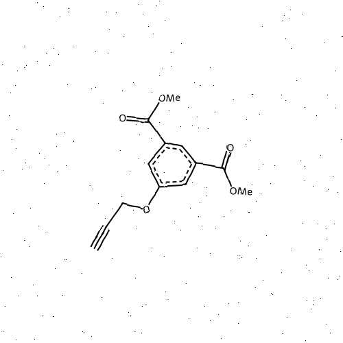 C#CCOc1cc(C(=O)OC)cc(C(=O)OC)c1